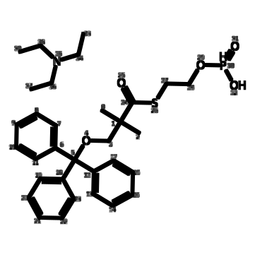 CC(C)(COC(c1ccccc1)(c1ccccc1)c1ccccc1)C(=O)SCCO[PH](=O)O.CCN(CC)CC